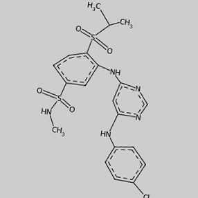 CNS(=O)(=O)c1ccc(S(=O)(=O)C(C)C)c(Nc2cc(Nc3ccc(Cl)cc3)ncn2)c1